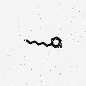 [CH2]CCCCCc1cccnc1